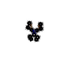 c1ccc2c(-c3cc(-c4cccc5ccccc45)cc(N(c4ccc(-c5cccc6c5sc5ccccc56)cc4)c4ccc(-c5cccc6c5sc5ccccc56)cc4)c3)cccc2c1